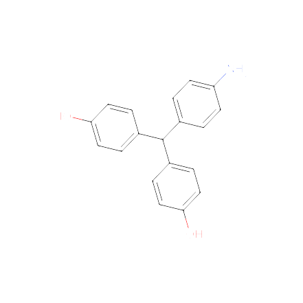 Nc1ccc(C(c2ccc(O)cc2)c2ccc(O)cc2)cc1